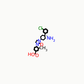 Cc1cc(C(=O)O)ccc1N1CCN([C@H]2CC[C@](CN)(c3cccc(Cl)c3)CC2)C1=O